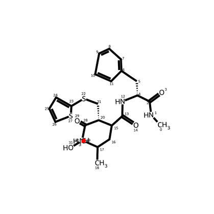 CNC(=O)[C@@H](Cc1ccccc1)NC(=O)C(CC(C)C)[C@@H](CSc1cccs1)C(=O)NO